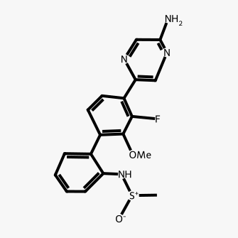 COc1c(-c2ccccc2N[S+](C)[O-])ccc(-c2cnc(N)cn2)c1F